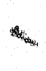 COc1ccccc1-c1noc(C2CC2)c1COc1ccc(C2CN(c3ccc4cc(C(=O)O)cnc4c3)C2)c(Cl)c1